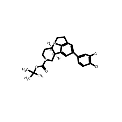 CC(C)(C)OC(=O)N1CC[C@@H]2[C@H](C1)c1cc(-c3ccc(Cl)c(Cl)c3)cc3c1N2CC3